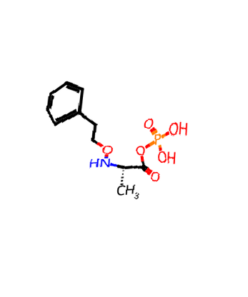 C[C@H](NOCCc1ccccc1)C(=O)OP(=O)(O)O